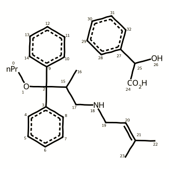 CCCOC(c1ccccc1)(c1ccccc1)C(C)CNCC=C(C)C.O=C(O)C(O)c1ccccc1